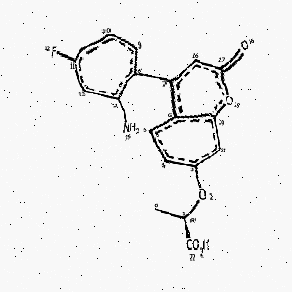 C[C@@H](Oc1ccc2c(-c3ccc(F)cc3N)cc(=O)oc2c1)C(=O)O